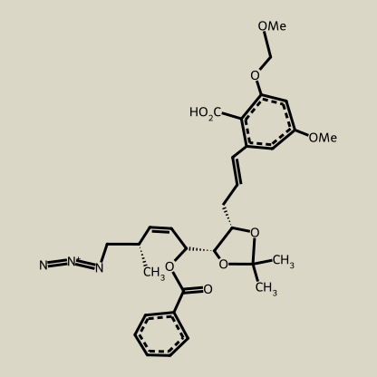 COCOc1cc(OC)cc(/C=C/C[C@@H]2OC(C)(C)O[C@@H]2C(/C=C\[C@H](C)CN=[N+]=[N-])OC(=O)c2ccccc2)c1C(=O)O